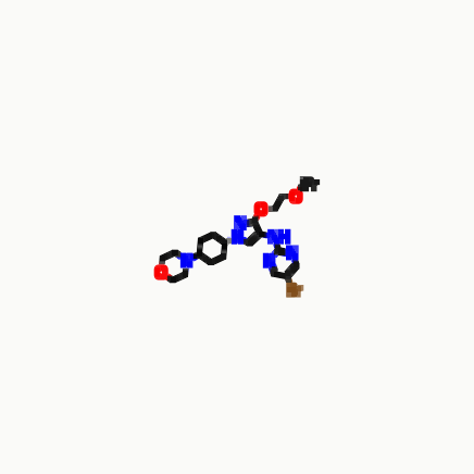 CC(C)OCCOc1nn([C@H]2CC[C@H](N3CCOCC3)CC2)cc1Nc1ncc(Br)cn1